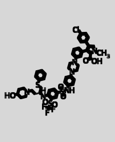 Cn1cc(-c2ccc(Cl)cc2)c(-c2cccc(N3CCN(c4ccc(NS(=O)(=O)c5ccc(N[C@H](CCN6CCC(O)CC6)CSc6ccccc6)c(S(=O)(=O)C(F)(F)F)c5)cc4)CC3)c2)c1C(=O)O